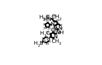 BN1CCN(c2c(C)nc(Nc3ncc4cc(C(=C)NC)n(C5CCCC5)c4n3)c(C)c2C)CC1